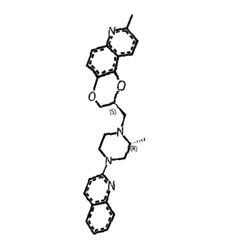 Cc1ccc2c3c(ccc2n1)OC[C@H](CN1CCN(c2ccc4ccccc4n2)C[C@H]1C)O3